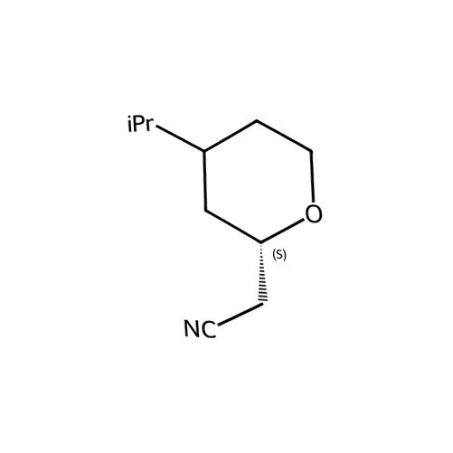 CC(C)C1CCO[C@H](CC#N)C1